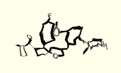 COC(=O)[C@H]1CC[C@@]2(C=C(c3cc(N4C=CNN4C)ccc3OC)CO2)[C@@H]1c1ccc(F)cc1